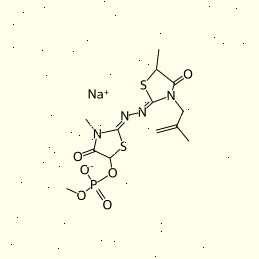 C=C(C)CN1C(=O)C(C)SC1=NN=C1SC(OP(=O)([O-])OC)C(=O)N1C.[Na+]